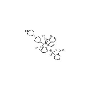 CCOc1ccccc1S(=O)(=O)N1C(=O)[C@@](c2cccnc2OCC)(N(C(=O)N2CCC(C3CCNCC3)CC2)C(C)C)c2cc(C#N)ccc21